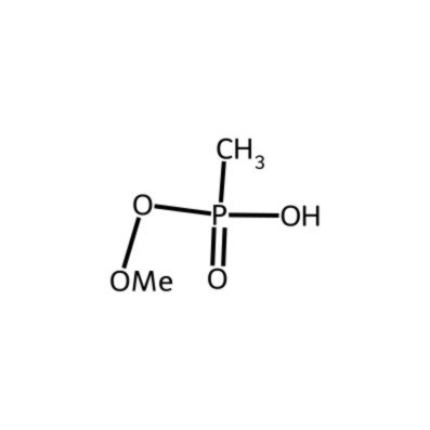 COOP(C)(=O)O